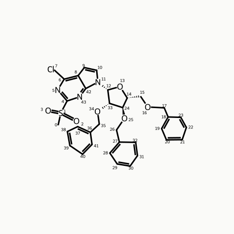 CS(=O)(=O)c1nc(Cl)c2ccn([C@@H]3O[C@H](COCc4ccccc4)[C@@H](OCc4ccccc4)[C@@H]3OCc3ccccc3)c2n1